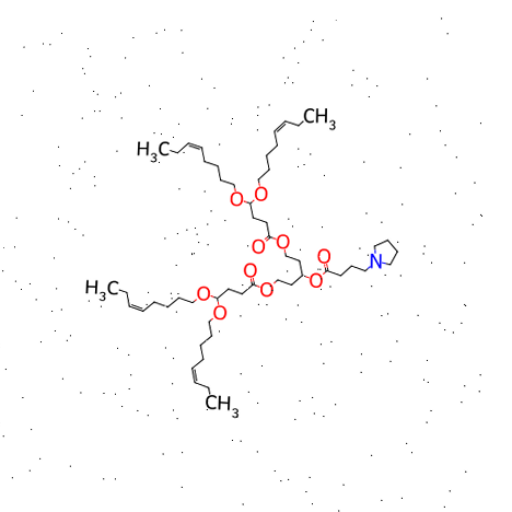 CC/C=C\CCCCOC(CCC(=O)OCCC(CCOC(=O)CCC(OCCCC/C=C\CC)OCCCC/C=C\CC)OC(=O)CCCN1CCCC1)OCCCC/C=C\CC